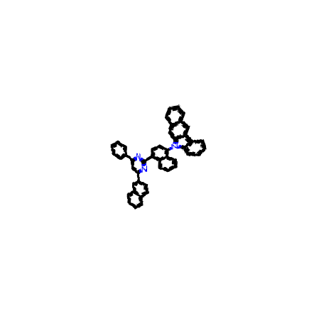 c1ccc(-c2cc(-c3ccc4ccccc4c3)nc(-c3ccc(-n4c5ccccc5c5cc6ccccc6cc54)c4ccccc34)n2)cc1